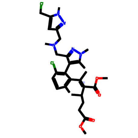 COC(=O)CCC(C)/C(C(=O)OC)=C(/C)c1c(C)ccc(Cl)c1-c1c(CN(C)Cc2cc(CCl)n(C)n2)nn(C)c1C